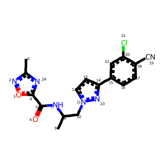 Cc1noc(C(=O)NC(C)Cn2ccc(-c3ccc(C#N)c(Cl)c3)n2)n1